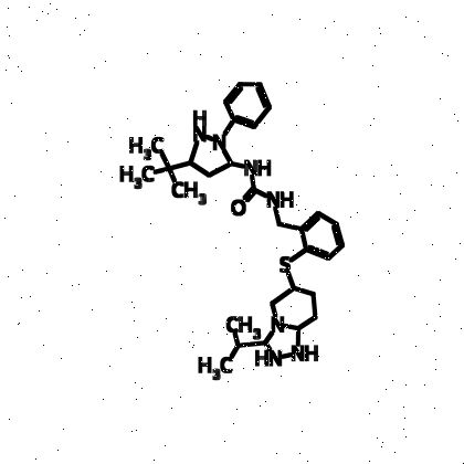 CC(C)C1NNC2CCC(Sc3ccccc3CNC(=O)NC3CC(C(C)(C)C)NN3c3ccccc3)CN21